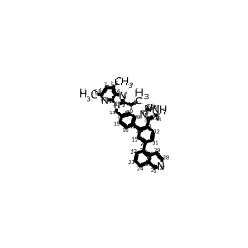 CCc1nc2c(C)cc(C)nc2n1Cc1ccc(-c2cc(-c3cccc4cnccc34)ccc2-c2nn[nH]n2)cc1